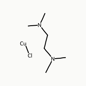 CN(C)CCN(C)C.[Cl][Cu]